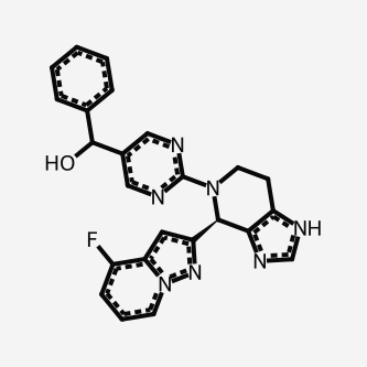 OC(c1ccccc1)c1cnc(N2CCc3[nH]cnc3[C@H]2c2cc3c(F)cccn3n2)nc1